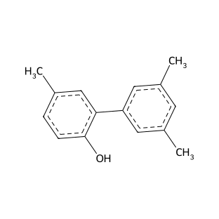 Cc1cc(C)cc(-c2cc(C)ccc2O)c1